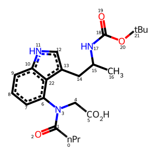 CCCC(=O)N(CC(=O)O)c1cccc2[nH]cc(CC(C)NC(=O)OC(C)(C)C)c12